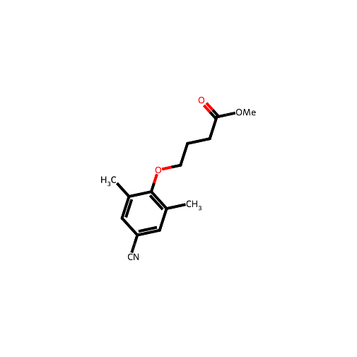 COC(=O)CCCOc1c(C)cc(C#N)cc1C